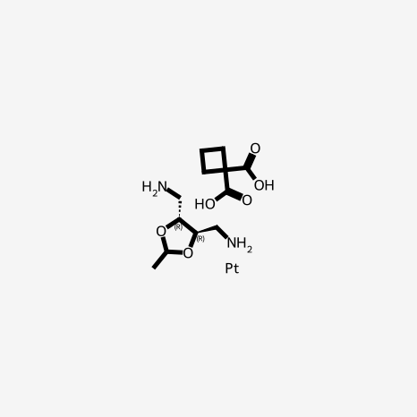 CC1O[C@H](CN)[C@@H](CN)O1.O=C(O)C1(C(=O)O)CCC1.[Pt]